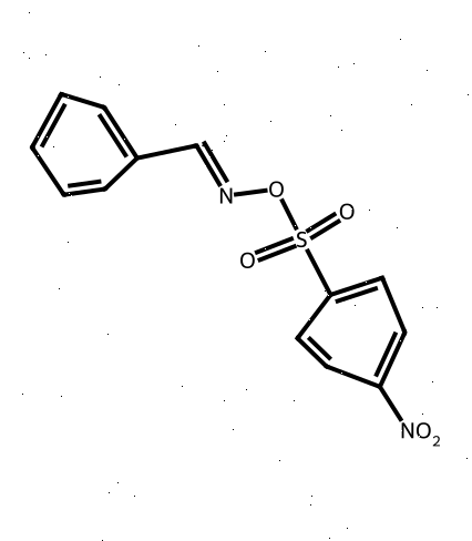 O=[N+]([O-])c1ccc(S(=O)(=O)O/N=[C]/c2ccccc2)cc1